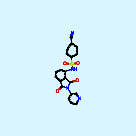 N#Cc1ccc(S(=O)(=O)Nc2cccc3c2C(=O)N(c2cccnc2)C3=O)cc1